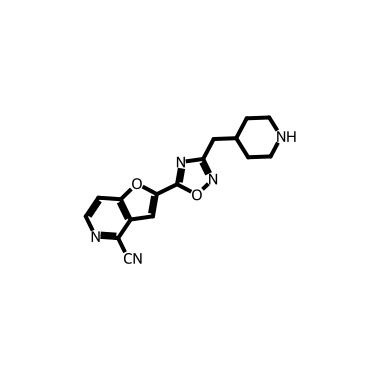 N#Cc1nccc2oc(-c3nc(CC4CCNCC4)no3)cc12